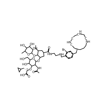 CCC1CC(C(=O)NCCNCc2ccc(CN3CCCNCCNCCCNCC3)cc2Br)CC(OC2OC(CO)C(O)C(O[C@@H](CC3CC3)C(=O)O)C2NC(C)=O)C1OC1OC(C)C(O)C(O)C1O